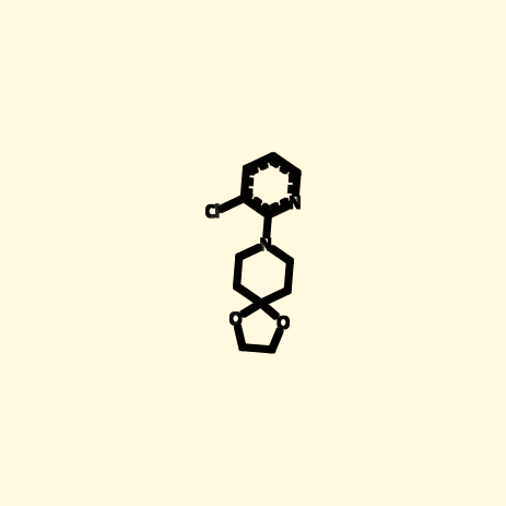 Clc1cccnc1N1CCC2(CC1)OCCO2